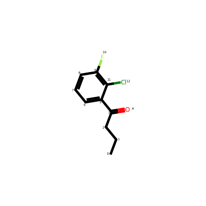 CCCC(=O)c1cccc(F)c1Cl